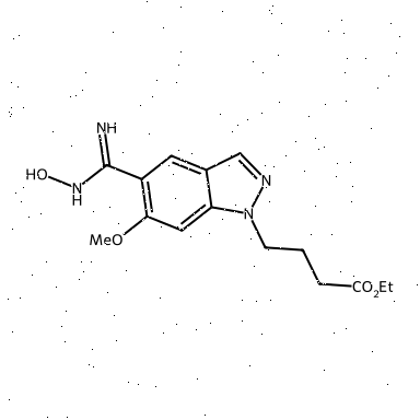 CCOC(=O)CCCn1ncc2cc(C(=N)NO)c(OC)cc21